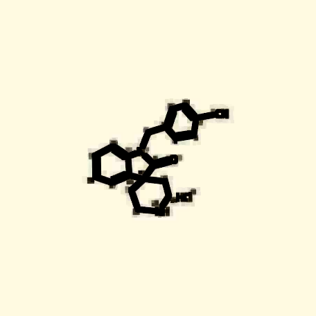 Cl.N#Cc1ccc(CN2C(=O)C3(CCNCC3)c3ccccc32)cc1